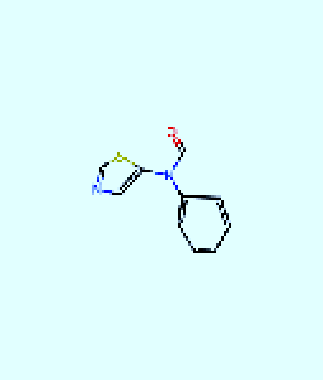 O=CN(c1ccccc1)c1cncs1